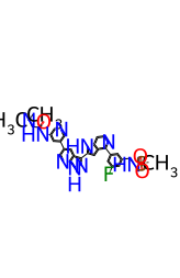 CN(C)CC(=O)Nc1cncc(-c2cnc3[nH]nc(-c4cc5c(-c6cc(F)cc(CNS(C)(=O)=O)c6)nccc5[nH]4)c3c2)c1